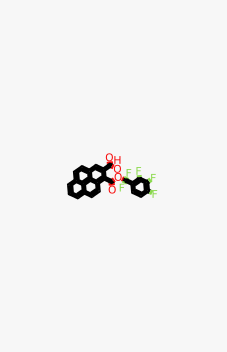 O=C(O)c1cc2ccc3cccc4ccc(c1C(=O)OC(F)(F)c1ccc(F)c(F)c1F)c2c34